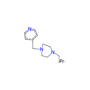 C[C](C)CN1CCN(Cc2ccncc2)CC1